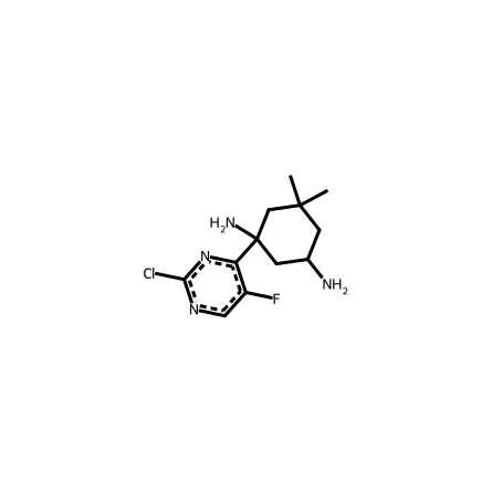 CC1(C)CC(N)CC(N)(c2nc(Cl)ncc2F)C1